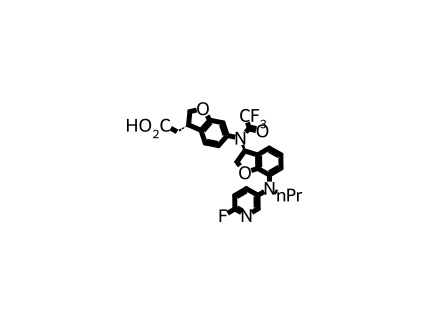 CCCN(c1ccc(F)nc1)c1cccc2c1OC[C@H]2N(C(=O)C(F)(F)F)c1ccc2c(c1)OC[C@H]2CC(=O)O